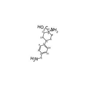 NCc1ccc(C2CCC(N)(C(=O)O)CC2)cc1